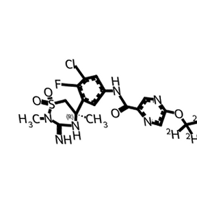 [2H]C([2H])([2H])Oc1cnc(C(=O)Nc2cc(Cl)c(F)c([C@]3(C)CS(=O)(=O)N(C)C(=N)N3)c2)cn1